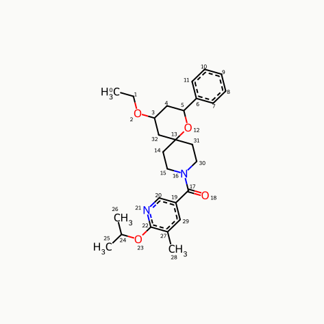 CCOC1CC(c2ccccc2)OC2(CCN(C(=O)c3cnc(OC(C)C)c(C)c3)CC2)C1